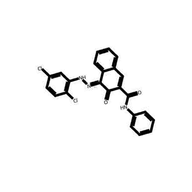 O=C(Nc1ccccc1)C1=Cc2ccccc2/C(=N\Nc2cc(Cl)ccc2Cl)C1=O